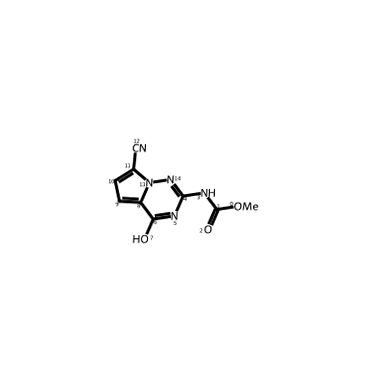 COC(=O)Nc1nc(O)c2ccc(C#N)n2n1